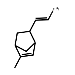 CCCC=CC1CC2CC1C=C2C